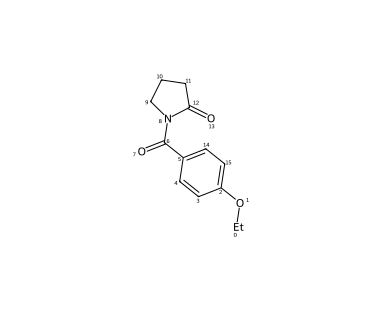 CCOc1ccc(C(=O)N2CCCC2=O)cc1